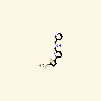 O=C(O)c1ccc(-c2cccc(CNCc3cccnc3)n2)s1